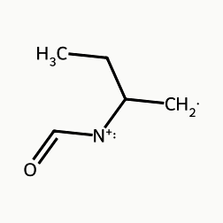 [CH2]C(CC)[N+]C=O